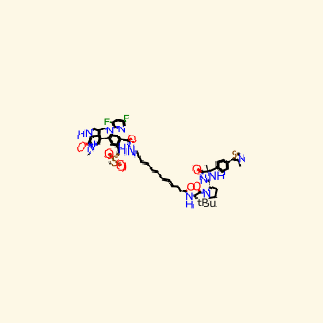 Cc1ncsc1-c1ccc([C@]2(C)NC([C@@H]3CCCN3C(=O)C(NC(=O)CCCCCCCCCCNC(=O)c3cc4c(cc3CS(C)(=O)=O)-c3cn(C)c(=O)c5[nH]cc(c35)CN4c3ncc(F)cc3F)C(C)(C)C)=NC2=O)cc1